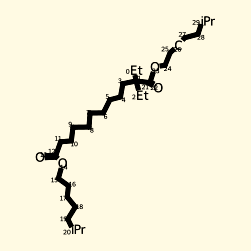 CCC(CC)(CCCCCCCCCC(=O)OCCCCCC(C)C)C(=O)OCCCCCC(C)C